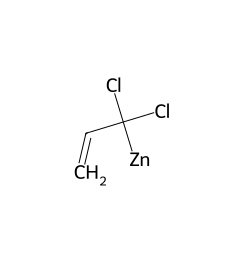 C=C[C](Cl)(Cl)[Zn]